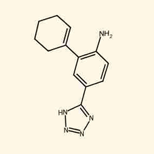 Nc1ccc(-c2nnn[nH]2)cc1C1=CCCCC1